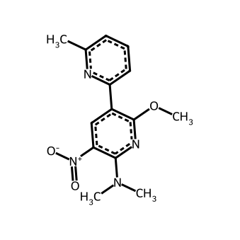 COc1nc(N(C)C)c([N+](=O)[O-])cc1-c1cccc(C)n1